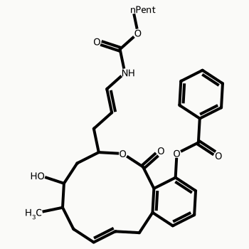 CCCCCOC(=O)N/C=C/CC1CC(O)C(C)C/C=C/Cc2cccc(OC(=O)c3ccccc3)c2C(=O)O1